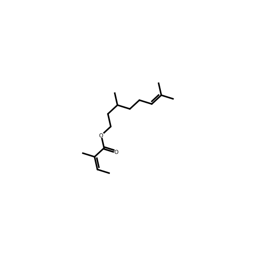 CC=C(C)C(=O)OCCC(C)CCC=C(C)C